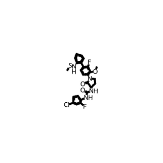 COc1c(N2CCC(NC(=O)Nc3ccc(Cl)cc3F)C2=O)ccc(-c2ccccc2NSC)c1F